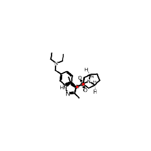 CCN(CC)Cc1ccc(O[C@H]2C[C@H]3CC[C@@H](C2)N3S(=O)(=O)c2c(C)n[nH]c2C)cc1